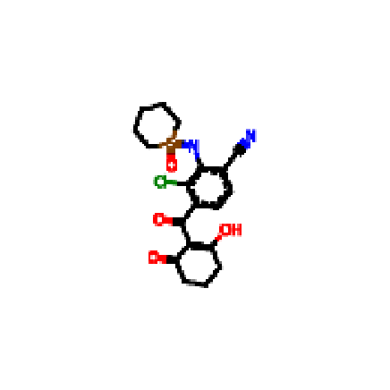 N#Cc1ccc(C(=O)C2=C(O)CCCC2=O)c(Cl)c1N=S1(=O)CCCCC1